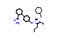 CCCc1c(C=O)n(CC2CCCCC2)c(=O)n1Cc1ccc(-c2ccccc2-c2nnn[nH]2)cc1